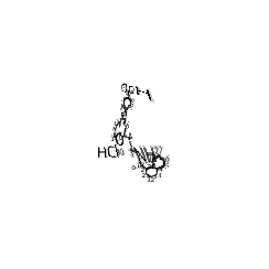 C[C@@H](NCCC1CN(c2ccc(C(=O)O)cc2)CCO1)c1cccc2ccccc12.Cl